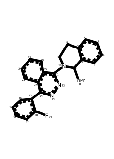 CCCC1c2ccccc2CCN1c1nnc(-c2ccccc2F)c2ccccc12